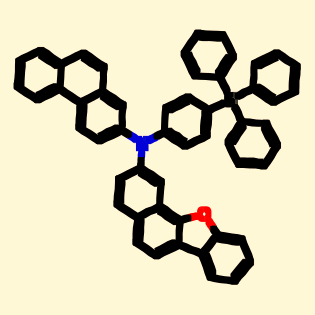 c1ccc([Si](c2ccccc2)(c2ccccc2)c2ccc(N(c3ccc4c(ccc5ccccc54)c3)c3ccc4ccc5c6ccccc6oc5c4c3)cc2)cc1